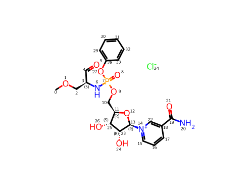 COC[C@@H](C=O)NP(=O)(OC[C@H]1O[C@@H]([n+]2cccc(C(N)=O)c2)[C@H](O)[C@@H]1O)Oc1ccccc1.[Cl-]